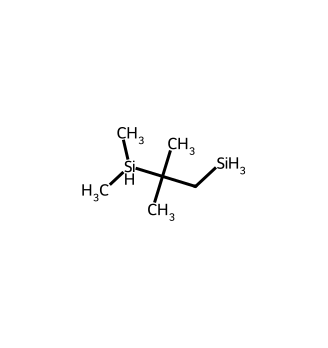 C[SiH](C)C(C)(C)C[SiH3]